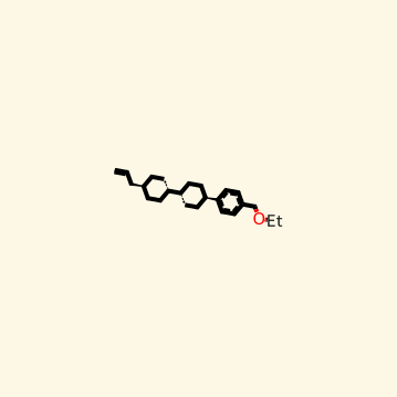 C=CC[C@H]1CC[C@H]([C@H]2CC[C@H](c3ccc(COCC)cc3)CC2)CC1